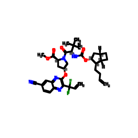 C=CCC[C@@H]1[C@H]2CC[C@H]2C[C@H]1OC(=O)N[C@H](C(=O)N1C[C@H](Oc2nc3cc(C#N)ccc3nc2C(F)(F)C=C)C[C@H]1C(=O)OC)C(C)(C)C